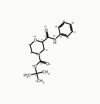 CC(C)(C)OC(=O)N1CCOC(C(=O)Nc2ccccc2)C1